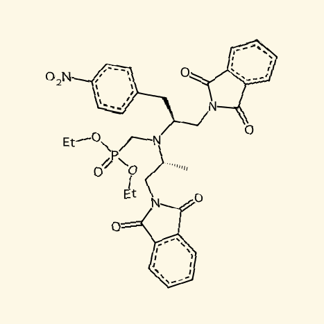 CCOP(=O)(CN([C@@H](Cc1ccc([N+](=O)[O-])cc1)CN1C(=O)c2ccccc2C1=O)[C@H](C)CN1C(=O)c2ccccc2C1=O)OCC